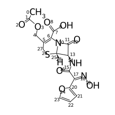 CC(=O)OCC1=C(C(=O)O)N2C(=O)[C@@H](NC(=O)C(=NO)c3ccco3)[C@@H]2SC1